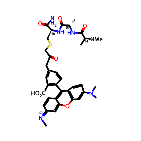 C/N=c1/ccc2c(-c3ccc(CC(=O)CSC[C@H](NC(=O)[C@H](C)NC(=O)[C@H](C)NC)C(N)=O)cc3C(=O)O)c3ccc(N(C)C)cc3oc-2c1